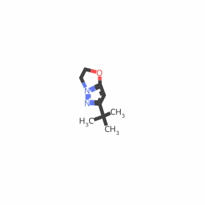 CC(C)(C)c1cc2n(n1)CCO2